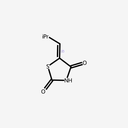 CC(C)/C=C1\SC(=O)NC1=O